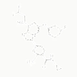 Cc1cc(-c2cnc3c([AsH]CC(F)F)cc(Oc4cccc(F)c4)cn23)ccc1C(=O)NC1CC1